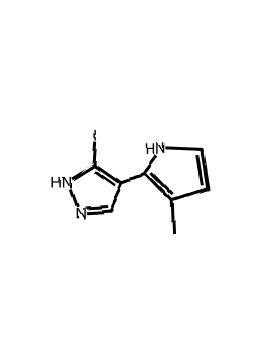 Cc1cc[nH]c1-c1cn[nH]c1I